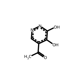 CC(=O)c1cnnc(O)c1O